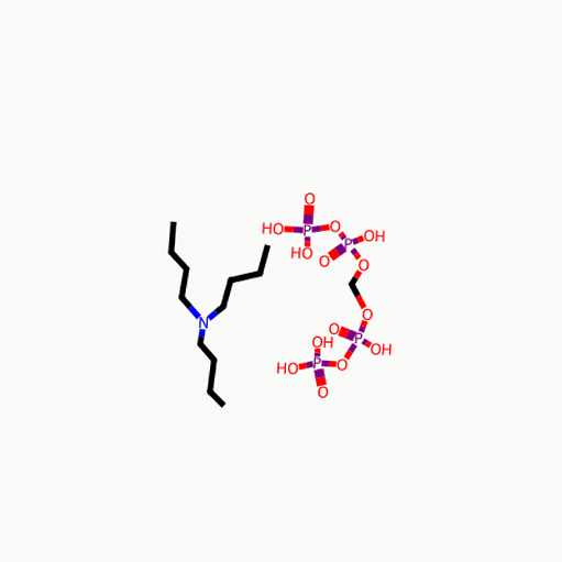 CCCCN(CCCC)CCCC.O=P(O)(O)OP(=O)(O)OCOP(=O)(O)OP(=O)(O)O